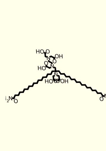 NC(=O)CCCCCCCCCCCCCCCCCC(CCCCCCCCCCCCCCCCCC(N)=O)(CN(CCN(CC(=O)O)CC(=O)O)CC(=O)O)N(CC(=O)O)CC(=O)O